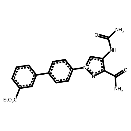 CCOC(=O)c1cccc(-c2ccc(-n3cc(NC(N)=O)c(C(N)=O)n3)cc2)c1